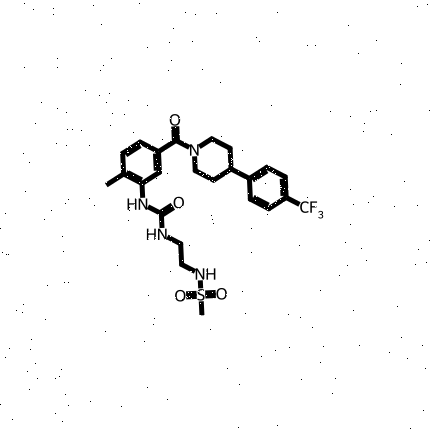 Cc1ccc(C(=O)N2CCC(c3ccc(C(F)(F)F)cc3)CC2)cc1NC(=O)NCCNS(C)(=O)=O